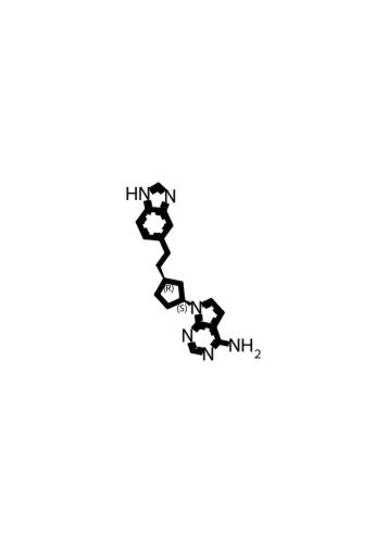 Nc1ncnc2c1ccn2[C@H]1CC[C@@H](CCc2ccc3[nH]cnc3c2)C1